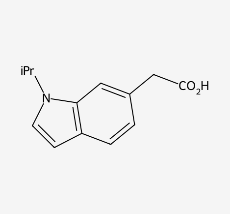 CC(C)n1ccc2ccc(CC(=O)O)cc21